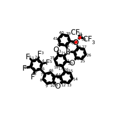 Fc1c(F)c(F)c(-c2ccc3oc4cccc(-c5ccc6c7c5Oc5cccc(OCC(F)(F)F)c5B7c5c(OCC(F)(F)F)cccc5O6)c4c3c2)c(F)c1F